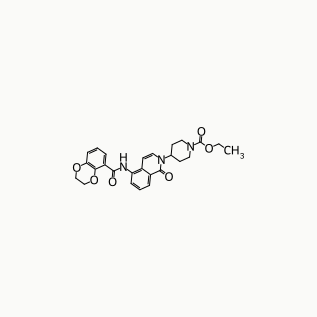 CCOC(=O)N1CCC(n2ccc3c(NC(=O)c4cccc5c4OCCO5)cccc3c2=O)CC1